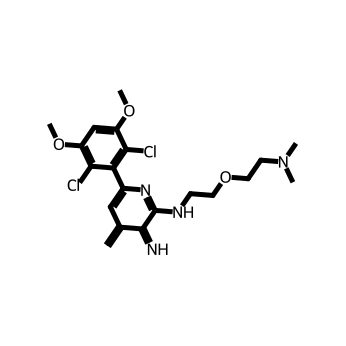 C=C1C=C(c2c(Cl)c(OC)cc(OC)c2Cl)N=C(NCCOCCN(C)C)C1=N